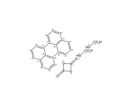 O=C(O)O.O=C(O)O.O=C1OC(=O)O1.c1cc2cccc3c4cccc5cccc(c(c1)c23)c54